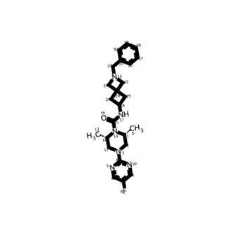 C[C@@H]1CN(c2ncc(F)cn2)C[C@H](C)N1C(=O)NC1CC2(C1)CN(Cc1ccccc1)C2